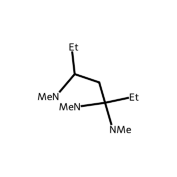 CCC(CC(CC)(NC)NC)NC